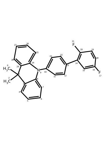 CC1(C)c2ccccc2N(c2ccc(-c3cc(F)ccc3F)cc2)c2ccccc21